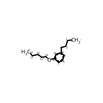 [CH2]CCCc1cccc(OCCCCC)c1